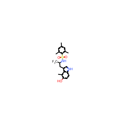 Cc1cc(C)c(S(=O)(=O)NC(Cc2c[nH]c3ccc(O)c(C)c23)C(F)(F)F)c(C)c1